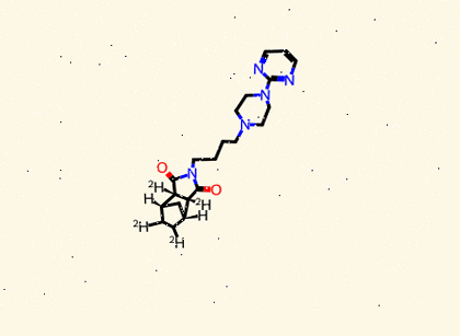 [2H]C1C([2H])[C@@H]2C[C@H]1[C@]1([2H])C(=O)N(CCCCN3CCN(c4ncccn4)CC3)C(=O)[C@]21[2H]